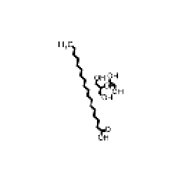 CCCCCCCCCCCCCCCCCC(=O)O.OCC(O)CO.OCCO